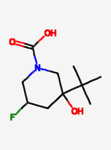 CC(C)(C)C1(O)CC(F)CN(C(=O)O)C1